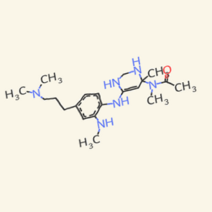 CNc1cc(CCCN(C)C)ccc1NC1=CC(C)(N(C)C(C)=O)NCN1